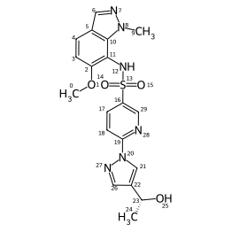 COc1ccc2cnn(C)c2c1NS(=O)(=O)c1ccc(-n2cc([C@@H](C)O)cn2)nc1